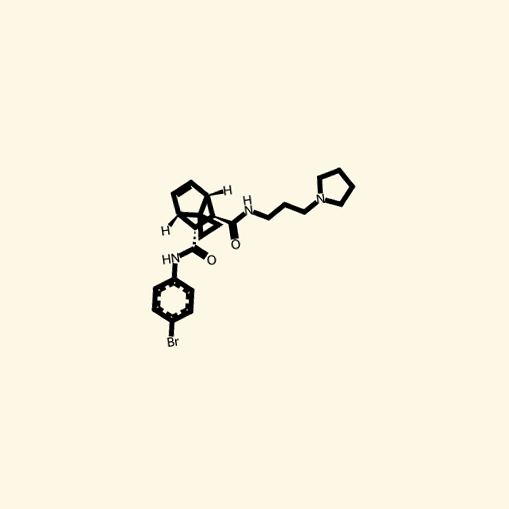 O=C(NCCCN1CCCC1)[C@H]1[C@H](C(=O)Nc2ccc(Br)cc2)[C@@H]2C=C[C@H]1C21CC1